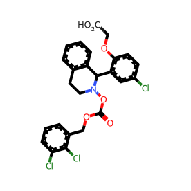 O=C(O)COc1ccc(Cl)cc1C1c2ccccc2CCN1OC(=O)OCc1cccc(Cl)c1Cl